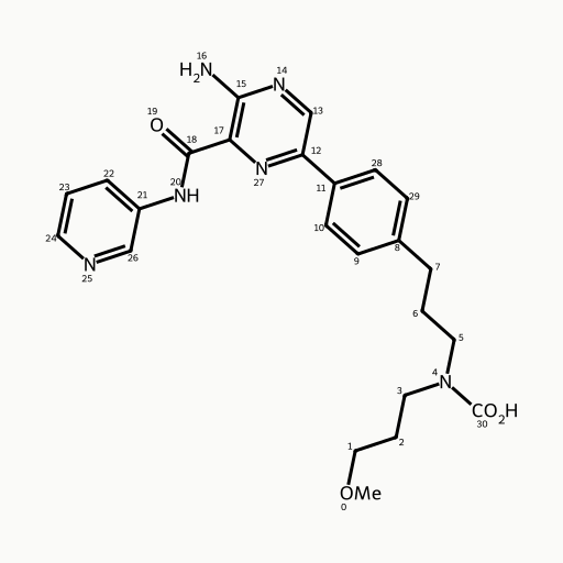 COCCCN(CCCc1ccc(-c2cnc(N)c(C(=O)Nc3cccnc3)n2)cc1)C(=O)O